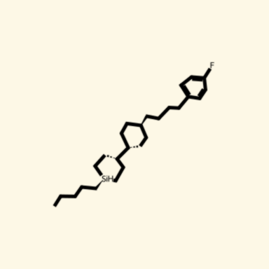 CCCCC[Si@H]1CC[C@H]([C@H]2CC[C@H](CCCCc3ccc(F)cc3)CC2)CC1